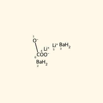 O=C([O-])[O-].[BaH2].[BaH2].[Li+].[Li+]